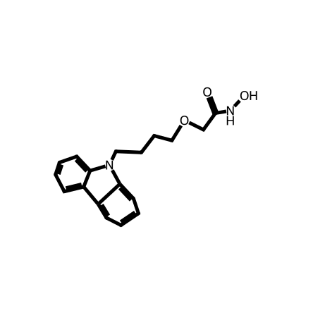 O=C(COCCCCn1c2ccccc2c2ccccc21)NO